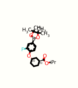 CC(C)OC(=O)[C@H]1CCC[C@H](Oc2ccc(B3OC(C)(C)C(C)(C)O3)cc2F)C1